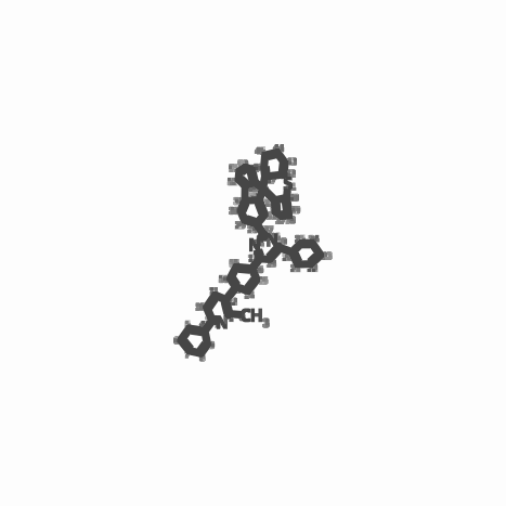 Cc1nc(-c2ccccc2)ccc1-c1ccc(-c2cc(-c3ccccc3)nc(-c3ccc4c(c3)C3(c5ccccc5Sc5ccccc53)c3ccccc3-4)n2)cc1